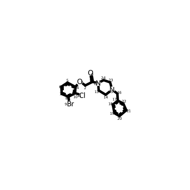 O=C(COc1cccc(Br)c1Cl)N1CCN(Cc2ccccc2)CC1